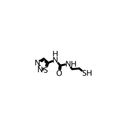 O=C(NCCS)Nc1cnns1